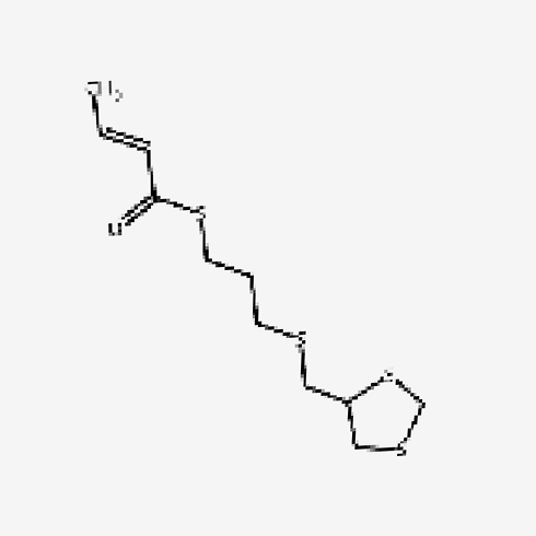 CC=CC(=O)SCCCSCC1CSCS1